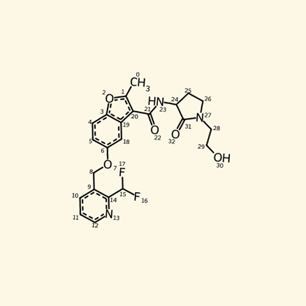 Cc1oc2ccc(OCc3cccnc3C(F)F)cc2c1C(=O)NC1CCN(CCO)C1=O